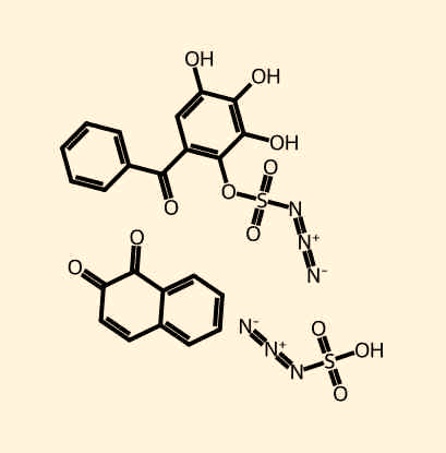 O=C1C=Cc2ccccc2C1=O.[N-]=[N+]=NS(=O)(=O)O.[N-]=[N+]=NS(=O)(=O)Oc1c(C(=O)c2ccccc2)cc(O)c(O)c1O